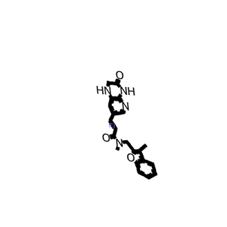 Cc1c(CN(C)C(=O)/C=C/c2cnc3c(c2)NCC(=O)N3)oc2ccccc12